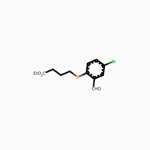 CCOC(=O)CCCSc1ccc(Br)cc1C=O